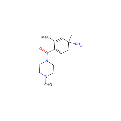 COC1=CC(C)(N)CC=C1C(=O)N1CCN(C=O)CC1